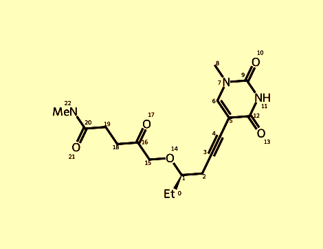 CC[C@H](CC#Cc1cn(C)c(=O)[nH]c1=O)OCC(=O)CCC(=O)NC